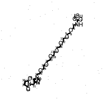 CC(C)(C)OC(=O)NCCOCCOCCOCCOCCOCCOCCOCCn1cc(CN2C(=O)C=CC2=O)nn1